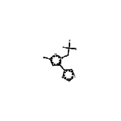 Cc1cc(-c2c[nH]cn2)n(CC(F)(F)F)n1